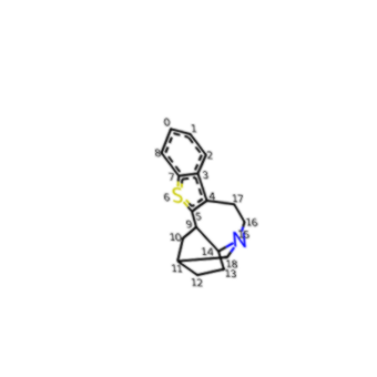 c1ccc2c3c(sc2c1)C1CC2CCC1N(CC3)C2